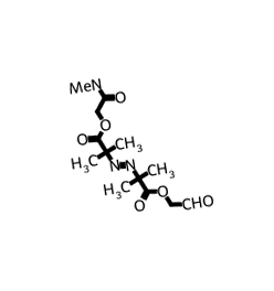 CNC(=O)COC(=O)C(C)(C)N=NC(C)(C)C(=O)OCC=O